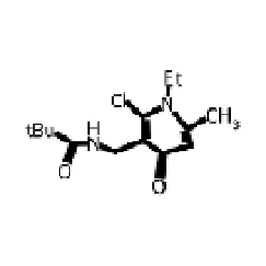 CCn1c(C)cc(=O)c(CNC(=O)C(C)(C)C)c1Cl